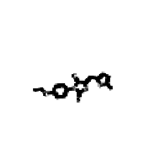 CCOc1ccc(N2C(=O)C(=Cc3ccc(C)o3)SC2=S)cc1